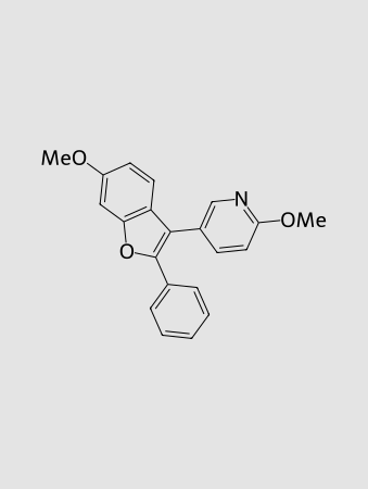 COc1ccc2c(-c3ccc(OC)nc3)c(-c3ccccc3)oc2c1